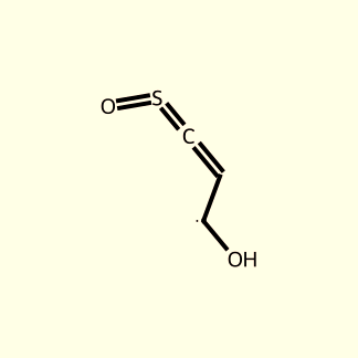 O=S=C=C[CH]O